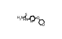 NC(=S)Nc1ccc(OC2CCOCC2)cn1